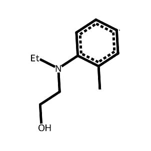 CCN(CCO)c1cc[c]cc1C